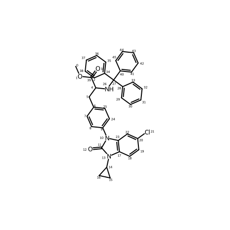 COC(=O)C(Cc1ccc(-n2c(=O)n(C3CC3)c3ccc(Cl)cc32)cc1)NC(c1ccccc1)(c1ccccc1)c1ccccc1